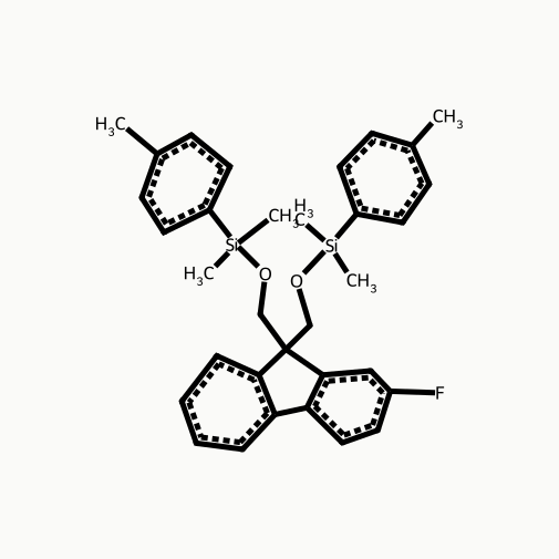 Cc1ccc([Si](C)(C)OCC2(CO[Si](C)(C)c3ccc(C)cc3)c3ccccc3-c3ccc(F)cc32)cc1